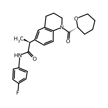 C[C@H](C(=O)Nc1ccc(F)cc1)c1ccc2c(c1)CCCN2C(=O)[C@H]1CCCCO1